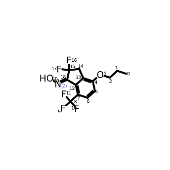 CCCOc1ccc(C(F)(F)F)c2c1CC(F)(F)/C2=N\O